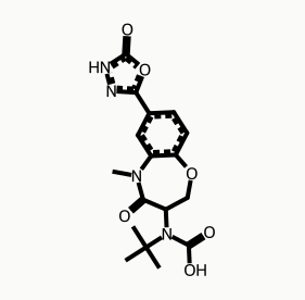 CN1C(=O)C(N(C(=O)O)C(C)(C)C)COc2ccc(-c3n[nH]c(=O)o3)cc21